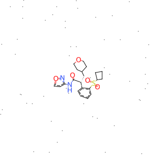 O=C(Nc1ccon1)[C@H](CC1CCOCC1)c1ccccc1S(=O)(=O)C1CCC1